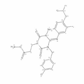 Cc1cc(/N=c2\n(N)c(=O)n(CCC(=O)ON)c(=O)n2Cc2ccc(Cl)cc2)ccc1OC(C)C